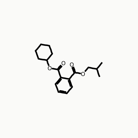 CC(C)COC(=O)c1ccccc1C(=O)OC1CCCCC1